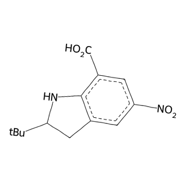 CC(C)(C)C1Cc2cc([N+](=O)[O-])cc(C(=O)O)c2N1